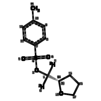 [2H]C([2H])(OS(=O)(=O)c1ccc(C)cc1)[C@@H]1CCCO1